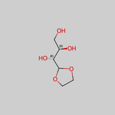 OC[C@@H](O)[C@@H](O)C1OCCO1